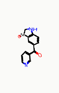 O=C(c1cccnc1)c1ccc2c(c1)[Se](=O)CN2